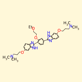 CCOCCOc1cc(-c2nc3ccc(OCCCN(C)C)cc3[nH]2)ccc1-c1nc2ccc(OCCCN(C)C)cc2[nH]1